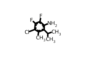 Cc1c(Cl)c(F)c(F)c(N)c1C(C)C